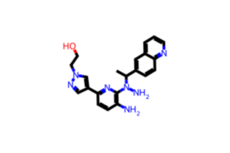 CC(c1ccc2ncccc2c1)N(N)c1nc(-c2cnn(CCO)c2)ccc1N